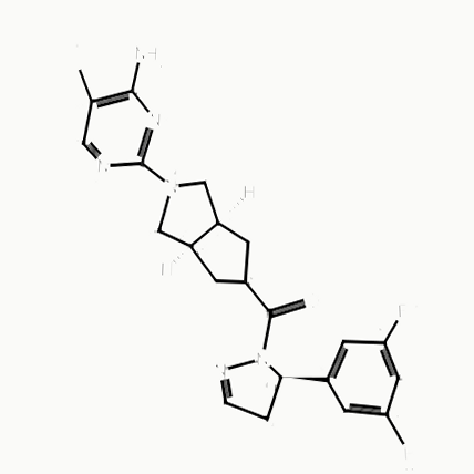 Nc1nc(N2C[C@H]3CC(C(=O)N4N=CC[C@@H]4c4cc(F)cc(F)c4)C[C@H]3C2)ncc1F